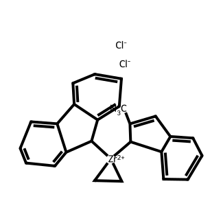 CC1=Cc2ccccc2[CH]1[Zr+2]1([CH]2c3ccccc3-c3ccccc32)[CH2][CH2]1.[Cl-].[Cl-]